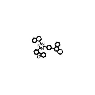 C1=Cc2cc(-c3ccc(-c4nc(C5=CCCc6ccccc65)nc(-c5cccc6oc7ccccc7c56)n4)cc3)c3ccccc3c2CC1